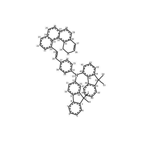 CC1(C)c2ccccc2-c2ccc(N(c3ccc(C=Cc4cccc5ccc6ccc7c(c6c45)CCC=C7)cc3)c3cccc4c3-c3ccccc3C4(C)C)cc21